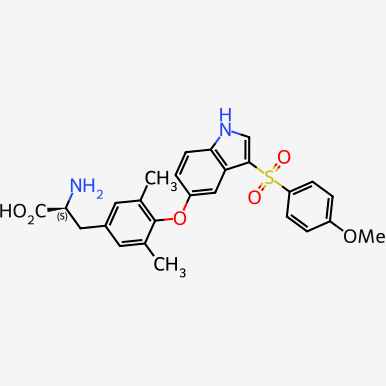 COc1ccc(S(=O)(=O)c2c[nH]c3ccc(Oc4c(C)cc(C[C@H](N)C(=O)O)cc4C)cc23)cc1